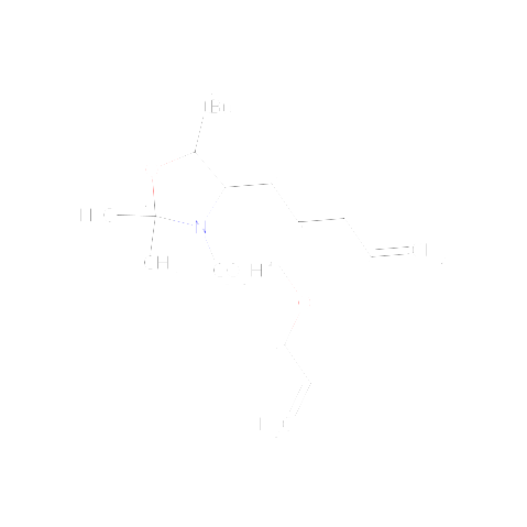 C=CCOC[C@@H](CC=C)CC1C(C(C)(C)C)OC(C)(C)N1C(=O)O